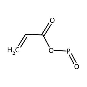 C=CC(=O)OP=O